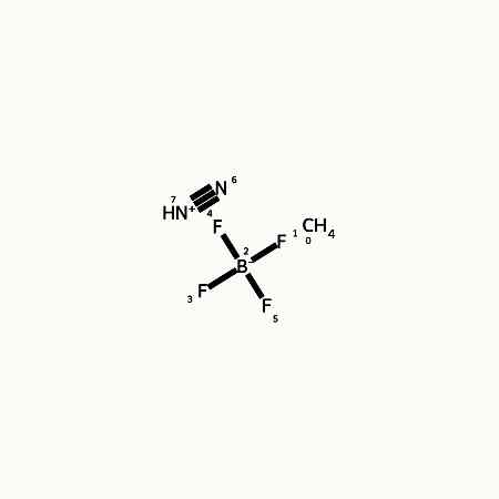 C.F[B-](F)(F)F.N#[NH+]